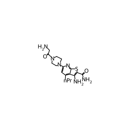 CCCc1cc(N2CCN(C(=O)CN)CC2)nc2sc(C(N)=O)c(N)c12